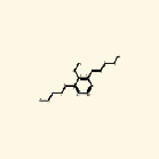 C[CH]c1c(CCCCC)cccc1CCCCC